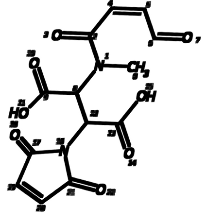 CN(C(=O)/C=C\C=O)C(C(=O)O)C(C(=O)O)N1C(=O)C=CC1=O